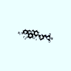 Nc1ccc(CNCC2CCN(c3nccc(/C=C4\SC(=O)NC4=O)n3)CC2)c(-c2ccc(C(F)(F)F)cc2C(F)(F)F)n1